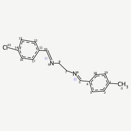 Cc1ccc(/C=N/CC/N=C/c2ccc(Cl)cc2)cc1